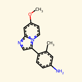 COc1ccn2c(-c3ccc(N)cc3C)cnc2c1